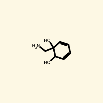 NCC1(O)C=CC=CC1O